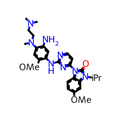 COc1ccc2c(c1)n(C(C)C)c(=O)n2-c1ccnc(Nc2cc(N)c(N(C)CCN(C)C)cc2OC)n1